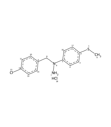 CSc1ccc(N(N)Cc2ccc(Cl)cc2)cc1.Cl